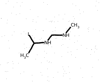 CNCNC(C)I